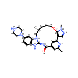 Cc1cc2cc(n1)-c1cnn(C)c1OCCC[C@@H](C)CN1/C(=N/C2=O)Nc2ccc(N3CCNCC3)cc21